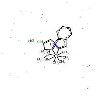 C[SiH](C)[Ti]([CH3])([CH3])([CH3])([CH3])([C]1=CC=CC1)([c]1cc2ccccc2[nH]1)[C](C)(C)C.Cl.Cl